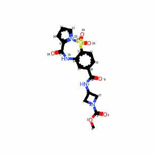 COC(=O)N1CC(NC(=O)c2ccc3c(c2)NC(=O)c2cccn2S3(=O)=O)C1